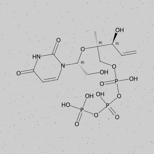 C=C[C@H](O)[C@@](C)(COP(=O)(O)OP(=O)(O)OP(=O)(O)O)O[C@H](CO)n1ccc(=O)[nH]c1=O